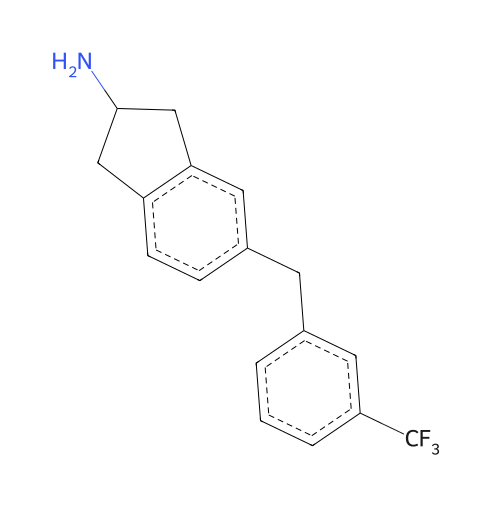 NC1Cc2ccc(Cc3cccc(C(F)(F)F)c3)cc2C1